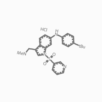 CNCc1cn(S(=O)(=O)c2cccnc2)c2cc(Nc3ccc(C(C)(C)C)cc3)ccc12.Cl